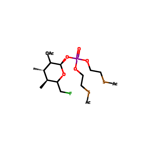 CC(=O)OC1[C@@H](OP(=O)(OCCSC(C)=O)OCCSC(C)=O)OC(CF)[C@@H](C)[C@@H]1C